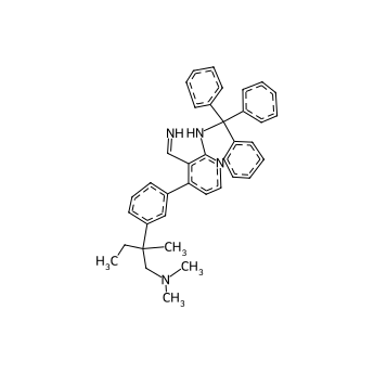 CCC(C)(CN(C)C)c1cccc(-c2ccnc(NC(c3ccccc3)(c3ccccc3)c3ccccc3)c2C=N)c1